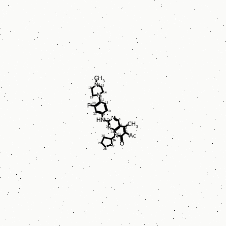 CC(=O)c1c(C)c2cnc(Nc3ccc(N4CCN(C)CC4)c(F)c3)nc2n(C2CCCC2)c1=O